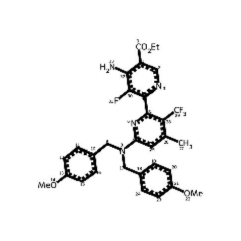 CCOC(=O)c1cnc(-c2nc(N(Cc3ccc(OC)cc3)Cc3ccc(OC)cc3)cc(C)c2C(F)(F)F)c(F)c1N